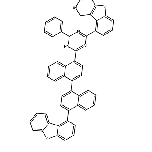 C1=Cc2oc3cccc(C4=NC(c5ccccc5)NC(c5ccc(-c6ccc(-c7cccc8oc9ccccc9c78)c7ccccc67)c6ccccc56)=N4)c3c2CN1